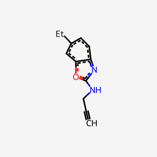 C#CCNc1nc2ccc(CC)cc2o1